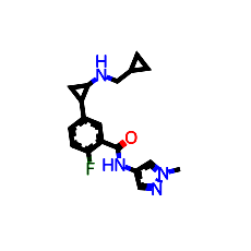 Cn1cc(NC(=O)c2cc(C3CC3NCC3CC3)ccc2F)cn1